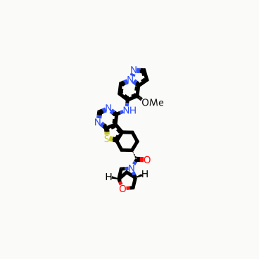 COc1c(Nc2ncnc3sc4c(c23)CC[C@H](C(=O)N2C[C@@H]3C[C@H]2CO3)C4)ccn2nccc12